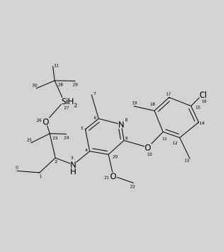 CCC(Nc1cc(C)nc(Oc2c(C)cc(Cl)cc2C)c1OC)C(C)(C)O[SiH2]C(C)(C)C